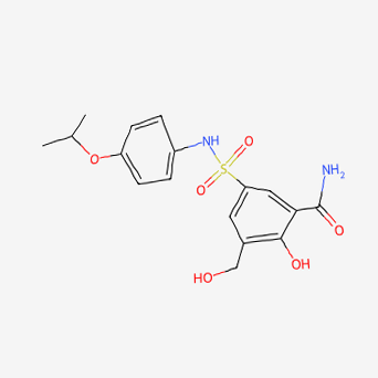 CC(C)Oc1ccc(NS(=O)(=O)c2cc(CO)c(O)c(C(N)=O)c2)cc1